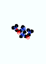 c1cc(-c2nc3ccccc3n2-c2ccc3oc4ccc(-n5c6ccccc6c6ccccc65)cc4c3c2)cc(-c2nc3ccccc3n2-c2ccc3oc4ccc(-n5c6ccccc6c6ccccc65)cc4c3c2)c1